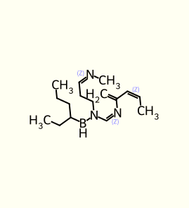 C=C(/C=C\C)/N=C\N(BC(CC)CCC)CC/C=N\C